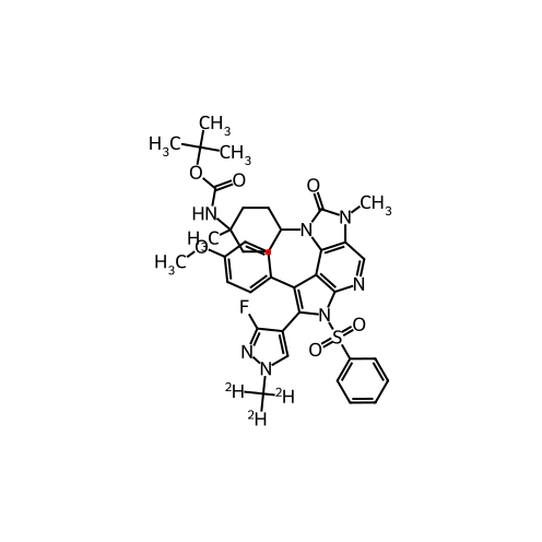 [2H]C([2H])([2H])n1cc(-c2c(-c3ccc(OC)cc3)c3c(ncc4c3n(C3CCC(C)(NC(=O)OC(C)(C)C)CC3)c(=O)n4C)n2S(=O)(=O)c2ccccc2)c(F)n1